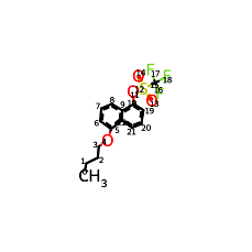 CCCCOc1cccc2c(OS(=O)(=O)C(F)(F)F)cccc12